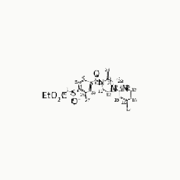 CCOC(=O)C[S+]([O-])c1ccc(C(=O)N2CCN(c3cc(C)ccn3)[C@@H](C)[C@@H]2C)cc1C